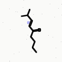 CCCCC(=O)/C=C/C(C)C